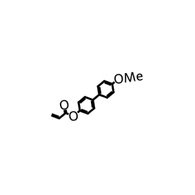 C=CC(=O)Oc1ccc(-c2ccc(OC)cc2)cc1